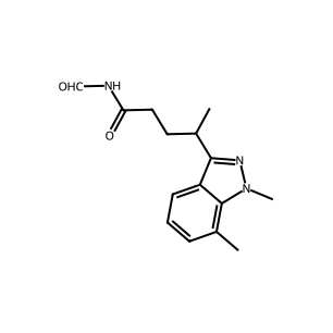 Cc1cccc2c(C(C)CCC(=O)NC=O)nn(C)c12